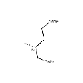 CCCC[C@H](C)CCSC